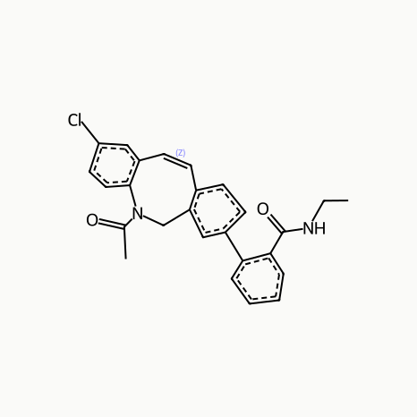 CCNC(=O)c1ccccc1-c1ccc2c(c1)CN(C(C)=O)c1ccc(Cl)cc1/C=C\2